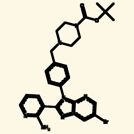 CC(C)(C)OC(=O)N1CCN(Cc2ccc(-n3c(-c4cccnc4N)nc4cc(Br)cnc43)cc2)CC1